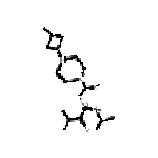 CC1CC(N2CCN(C(=O)C[C@H](NC(C)C)C(=O)C(C)C)CC2)C1